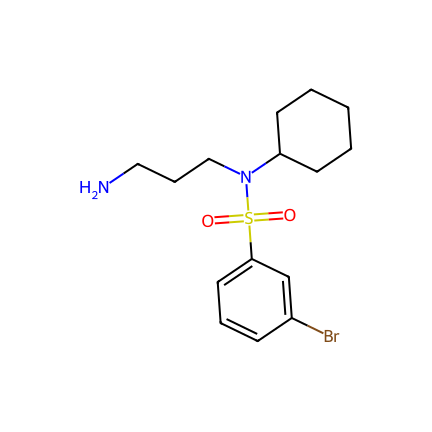 NCCCN(C1CCCCC1)S(=O)(=O)c1cccc(Br)c1